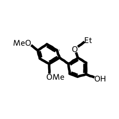 CCOc1cc(O)ccc1-c1[c]cc(OC)cc1OC